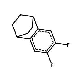 Fc1cc2c(cc1F)C1CCC2CC1